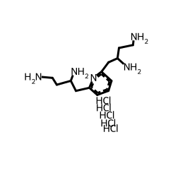 Cl.Cl.Cl.Cl.Cl.NCCC(N)Cc1cccc(CC(N)CCN)n1